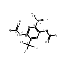 CC(=O)Nc1cc(C(F)(F)F)c(NC(C)=O)cc1[N+](=O)[O-]